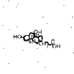 C[C@]12CC[C@H]3[C@@H]([C@@H](O)CC4C[C@H](O)CC[C@@]43C)[C@@H]1CC[C@@H]2CCCC(=O)O